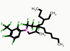 CCCCCCC(F)(F)C(F)(F)C(F)(F)P(CC(C)CCC(CC)CCC)c1cc(F)c(F)c(C(F)(F)F)c1F